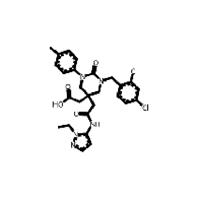 CCn1nccc1NC(=O)CC1(CC(=O)O)CN(Cc2ccc(Cl)cc2Cl)C(=O)N(c2ccc(C)cc2)C1